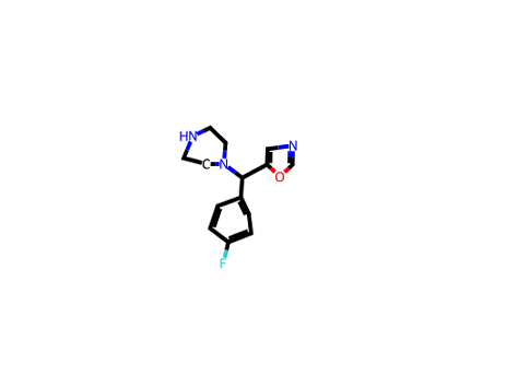 Fc1ccc(C(c2cnco2)N2CCNCC2)cc1